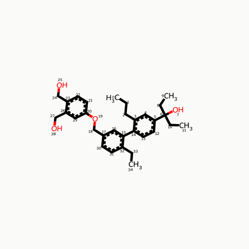 CCCc1cc(C(O)(CC)CC)ccc1-c1cc(COc2ccc(CO)c(CO)c2)ccc1CC